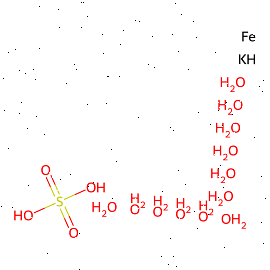 O.O.O.O.O.O.O.O.O.O.O.O.O=S(=O)(O)O.[Fe].[KH]